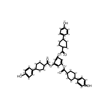 O=C(Oc1cc(OC(=O)C2CCC(c3ccc(O)cc3)CC2)cc(OC(=O)C2CCC(c3ccc(O)cc3)CC2)c1)C1CCC(c2ccc(O)cc2)CC1